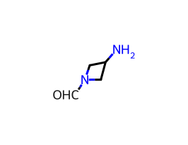 NC1CN(C=O)C1